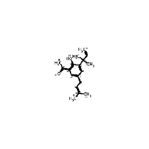 C=CC(C)(C)c1cc(CC=C(C)C)cc(C(C)=O)c1O